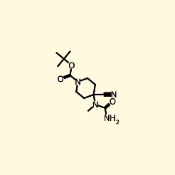 CN(C(N)=O)C1(C#N)CCN(C(=O)OC(C)(C)C)CC1